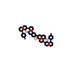 Cc1ccc(-c2ccccc2)c(N(c2ccc3cc4c(cc3c2)oc2cc3cc(N(c5ccccc5-c5ccccc5)c5cc(C)ccc5-c5ccccc5)ccc3cc24)c2ccccc2-c2ccccc2)c1